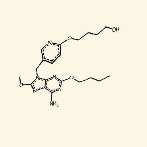 CCCCOc1nc(N)c2nc(OC)n(Cc3ccc(OCCCCO)nc3)c2n1